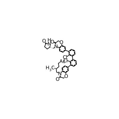 CC(=O)CC[C@H](C)CN1C(=O)COc2cc(-c3cccc(-c4cccc(-c5ccc6c(c5)OCC(=O)N6C[C@@H]5CCC(=O)N5)c4Cl)c3Cl)ccc21